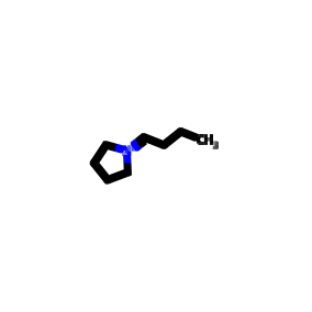 CCCC=[N+]1CCCC1